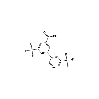 O=C(O)c1cc(-c2cccc(C(F)(F)F)c2)cc(C(F)(F)F)c1